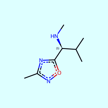 CN[C@H](c1nc(C)no1)C(C)C